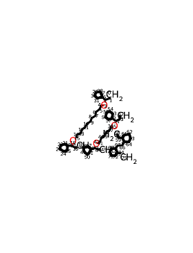 C=CC(OCCCCCCCCCCCCOC(C=C)c1ccccc1)c1ccccc1.C=CC(OCCCCCCOC(C=C)c1ccccc1)c1ccccc1.C=Cc1ccccc1CCc1ccccc1C=C